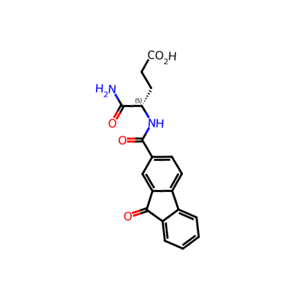 NC(=O)[C@H](CCC(=O)O)NC(=O)c1ccc2c(c1)C(=O)c1ccccc1-2